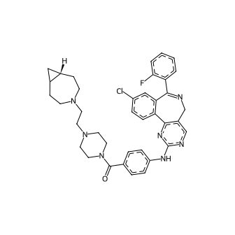 O=C(c1ccc(Nc2ncc3c(n2)-c2ccc(Cl)cc2C(c2ccccc2F)=NC3)cc1)N1CCN(CCN2CCC3C[C@@H]3CC2)CC1